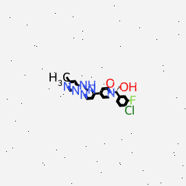 Cc1cc(Nc2nccc(-c3ccn([C@H](CO)c4ccc(Cl)c(F)c4)c(=O)c3)n2)ncn1